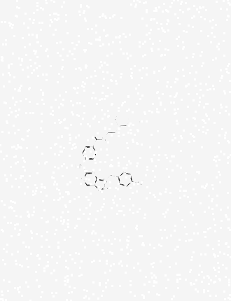 CCN(CC)CCNC(=O)c1ccc(Nc2ncc3nnn(Cc4ccc(N(C)C)cc4)c3n2)cc1